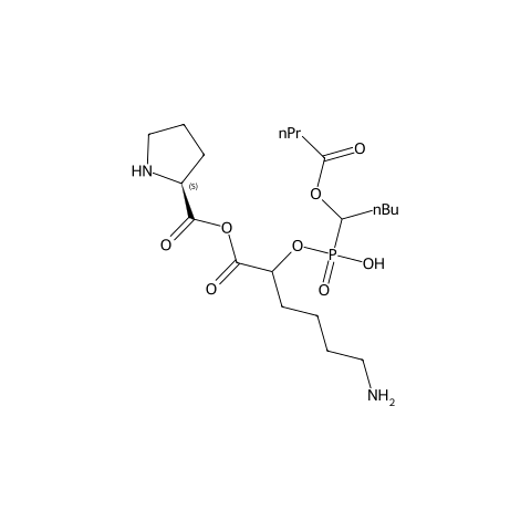 CCCCC(OC(=O)CCC)P(=O)(O)OC(CCCCN)C(=O)OC(=O)[C@@H]1CCCN1